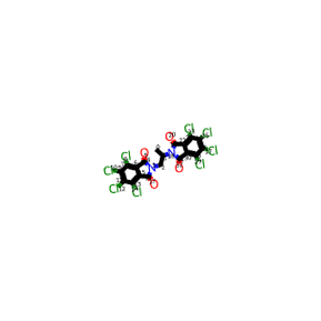 CC(CN1C(=O)c2c(Cl)c(Cl)c(Cl)c(Cl)c2C1=O)N1C(=O)c2c(Cl)c(Cl)c(Cl)c(Cl)c2C1=O